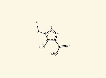 COC(=O)c1noc(CI)c1N